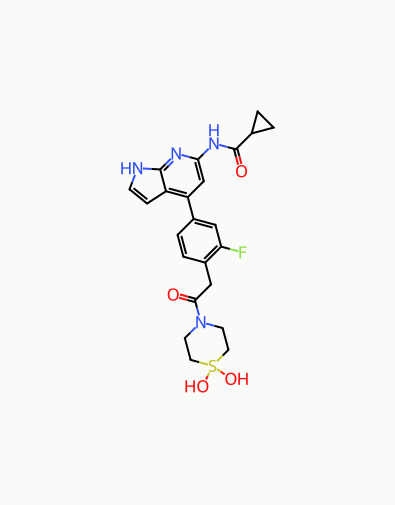 O=C(Nc1cc(-c2ccc(CC(=O)N3CCS(O)(O)CC3)c(F)c2)c2cc[nH]c2n1)C1CC1